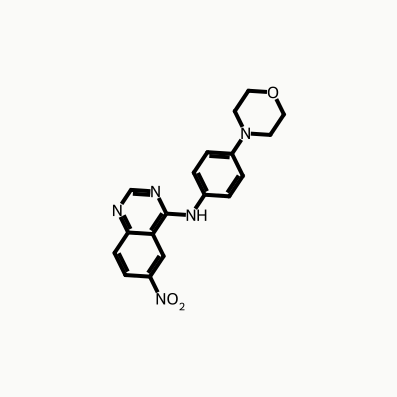 O=[N+]([O-])c1ccc2ncnc(Nc3ccc(N4CCOCC4)cc3)c2c1